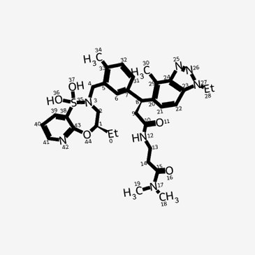 CC[C@@H]1CN(Cc2cc([C@H](CC(=O)NCCC(=O)N(C)C)c3ccc4c(nnn4CC)c3C)ccc2C)S(O)(O)c2cccnc2O1